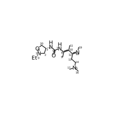 CCN1C[C@@H](NC(=O)N/C(C)=C(C)/C(CCN(C)C)=N\C)CO1